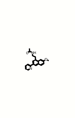 COc1ccc2cc(-c3ccccn3)cc(CCNC(C)=O)c2c1